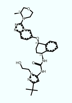 C[C@H]1COCCN1c1nnc2ccc(O[C@@H]3CC[C@H](NC(=O)Nc4cc(C(C)(C)C)nn4CCO)c4ccccc43)cn12